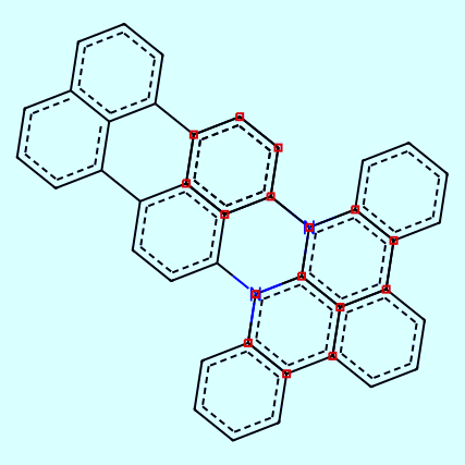 c1ccc(-c2ccccc2N(c2ccccc2)c2ccc(-c3cccc4cccc(-c5ccc(N(c6ccccc6)c6ccccc6-c6ccccc6)cc5)c34)cc2)cc1